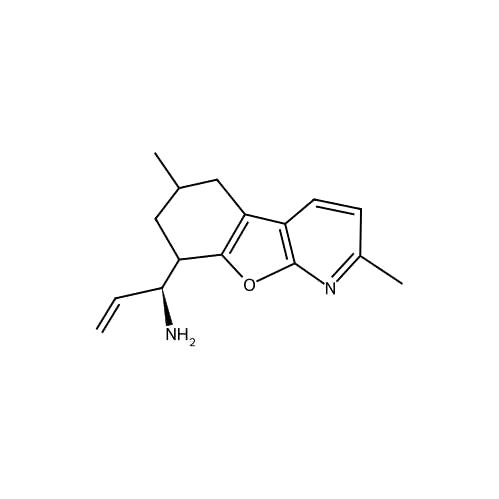 C=C[C@H](N)C1CC(C)Cc2c1oc1nc(C)ccc21